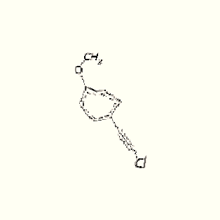 COc1ccc(C#CCl)cc1